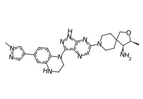 C[C@@H]1OCC2(CCN(c3cnc4c(N5CCNc6cc(-c7cnn(C)c7)ccc65)n[nH]c4n3)CC2)[C@@H]1N